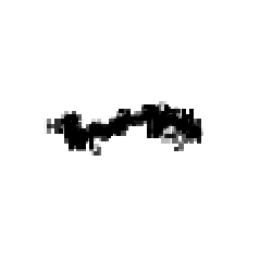 Cc1ncsc1-c1ccc([C@H](C)NC(=O)[C@@H]2CC(=O)CN2C[C@@H](NC(=O)CCCCCC(=O)N2CCN(CCOc3cccc(CCOc4cc(-c5ccccc5O)nnc4N)c3)CC2)C(C)(C)C)cc1